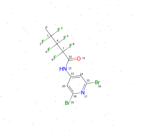 CC(F)(F)C(F)(F)C(F)(F)C(=O)Nc1cc(Br)nc(Br)c1